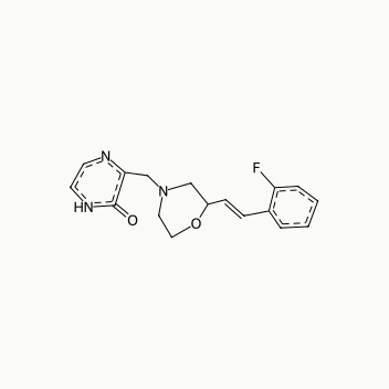 O=c1[nH]ccnc1CN1CCOC(/C=C/c2ccccc2F)C1